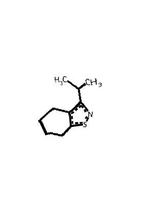 CC(C)c1nsc2c1CCCC2